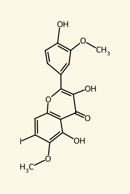 COc1cc(-c2oc3cc(I)c(OC)c(O)c3c(=O)c2O)ccc1O